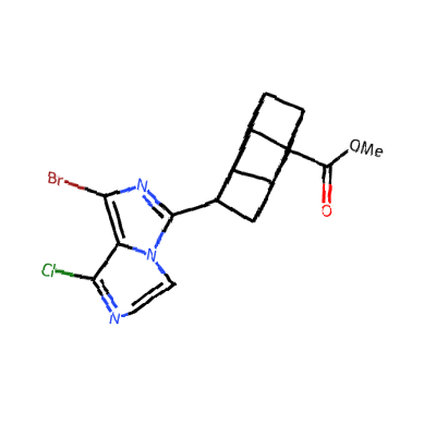 COC(=O)C12C3C4C1C1C2C3C41c1nc(Br)c2c(Cl)nccn12